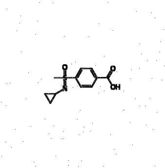 CS(=O)(=NC1CC1)c1ccc(C(=O)O)cc1